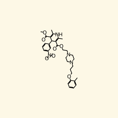 COC(=O)C1=C(C)NC(C)=C(C(=O)OCCN2CCN(CCCOc3ccccc3C)CC2)C1c1cccc([N+](=O)[O-])c1